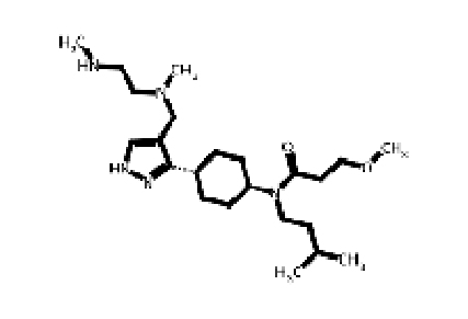 CNCCN(C)Cc1c[nH]nc1[C@H]1CC[C@H](N(CCC(C)C)C(=O)CCOC)CC1